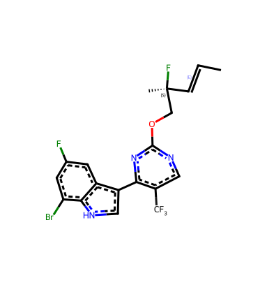 C/C=C/[C@](C)(F)COc1ncc(C(F)(F)F)c(-c2c[nH]c3c(Br)cc(F)cc23)n1